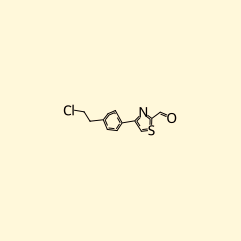 O=Cc1nc(-c2ccc(CCCl)cc2)cs1